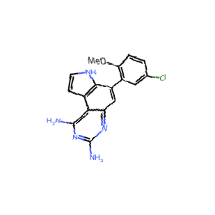 COc1ccc(Cl)cc1-c1cc2nc(N)nc(N)c2c2cc[nH]c12